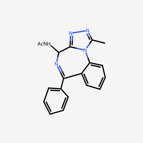 CC(=O)NC1N=C(c2ccccc2)c2ccccc2-n2c(C)nnc21